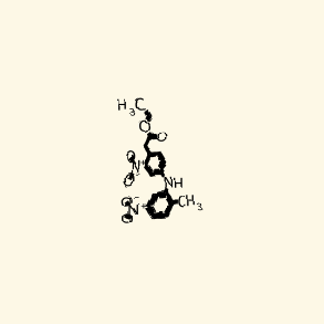 CCOC(=O)Cc1ccc(Nc2cc([N+](=O)[O-])ccc2C)cc1[N+](=O)[O-]